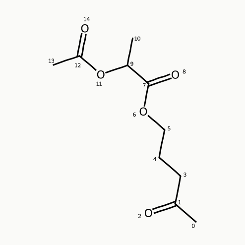 CC(=O)CCCOC(=O)C(C)OC(C)=O